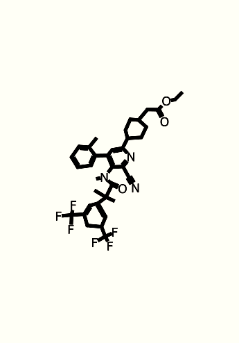 CCOC(=O)CC1CCC(c2cc(-c3ccccc3C)c(N(C)C(=O)C(C)(C)C3=CC(C(F)(F)F)CC(C(F)(F)F)=C3)c(C#N)n2)CC1